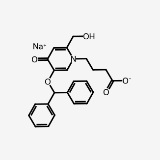 O=C([O-])CCCn1cc(OC(c2ccccc2)c2ccccc2)c(=O)cc1CO.[Na+]